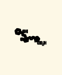 O=C(O)c1ccc(COC[C@H]2CCC(=O)N2CCC(O)C2CCCCC2)s1